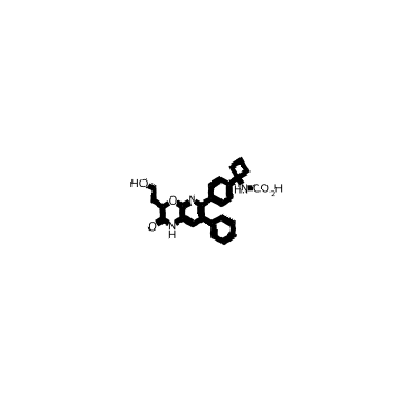 O=C(O)NC1(c2ccc(-c3nc4c(cc3-c3ccccc3)NC(=O)C(CCO)O4)cc2)CCC1